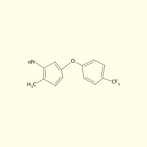 CCCc1cc(Oc2ccc(C(F)(F)F)cc2)ccc1C